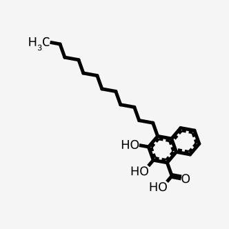 CCCCCCCCCCCCc1c(O)c(O)c(C(=O)O)c2ccccc12